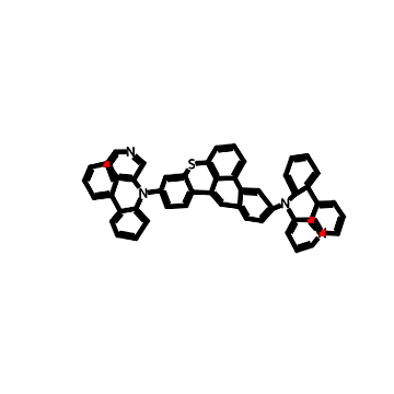 c1ccc(-c2ccccc2N(c2cccnc2)c2ccc3c(c2)Sc2cccc4c2c-3cc2ccc(N(c3cccnc3)c3ccccc3-c3ccccc3)cc24)cc1